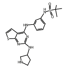 CC(C)(C)S(=O)(=O)Nc1cccc(Nc2nc(NC3CCNC3)nc3sccc23)c1